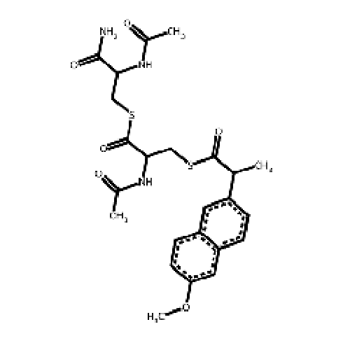 COc1ccc2cc(C(C)C(=O)SCC(NC(C)=O)C(=O)SCC(NC(C)=O)C(N)=O)ccc2c1